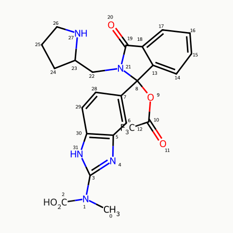 CN(C(=O)O)c1nc2cc(C3(OC(=O)C(F)(F)F)c4ccccc4C(=O)N3CC3CCCN3)ccc2[nH]1